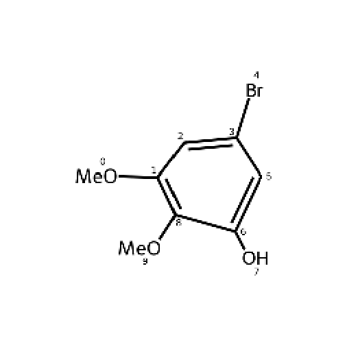 COc1cc(Br)cc(O)c1OC